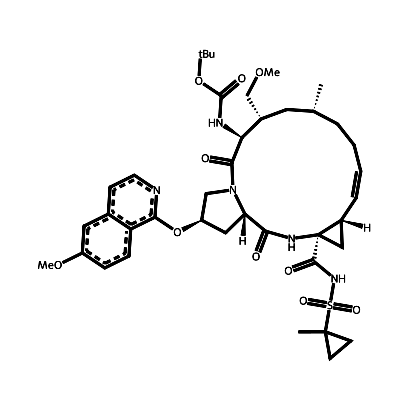 COC[C@@H]1C[C@H](C)CC/C=C\[C@@H]2C[C@@]2(C(=O)NS(=O)(=O)C2(C)CC2)NC(=O)[C@@H]2C[C@@H](Oc3nccc4cc(OC)ccc34)CN2C(=O)[C@H]1NC(=O)OC(C)(C)C